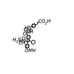 COc1ccc(-c2c(C3CCCCC3)c3ccc(C(=O)NC4(C(=O)Nc5ccc(C=CC(=O)O)cc5)CCCC4)cc3n2CC(=O)N(C)C)cc1